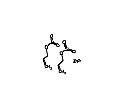 C=CCO[S-](=O)=O.C=CCO[S-](=O)=O.[Zn+2]